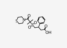 CC(C)(C(=O)N1CCSCC1)S(=O)(=O)CC(CC(=O)O)c1ccccc1